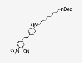 CCCCCCCCCCCCCCCCCCNc1ccc(C=Cc2ccc([N+](=O)[O-])c(C#N)c2)cc1